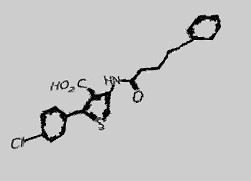 O=C(CCCCc1ccccc1)Nc1csc(-c2ccc(Cl)cc2)c1C(=O)O